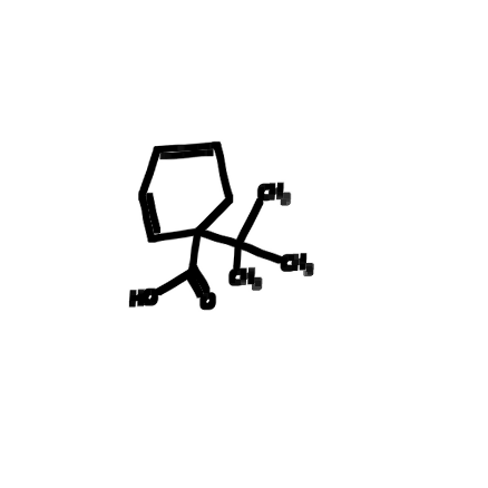 CC(C)(C)C1(C(=O)O)C=CC=CC1